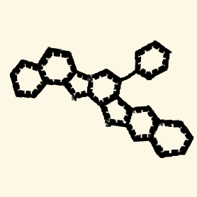 [c]1ccc(-c2cn3c4ccc5ccccc5c4nc3c3sc4cc5ccccc5cc4c23)cc1